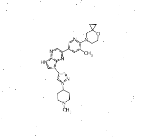 Cc1cc(-c2cnc3[nH]cc(-c4cnn(C5CCN(C)CC5)c4)c3n2)cnc1N1CCOC2(CC2)C1